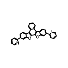 c1ccc(-c2ccc3c(c2)oc2c4oc5cc(-c6ccccn6)ccc5c4c4ccccc4c32)nc1